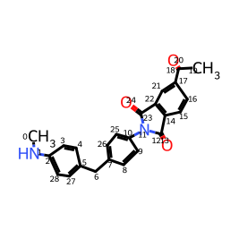 CNc1ccc(Cc2ccc(N3C(=O)c4ccc(C(C)=O)cc4C3=O)cc2)cc1